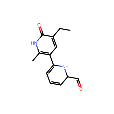 CCc1cc(C2=CC=CC(C=O)N2)c(C)[nH]c1=O